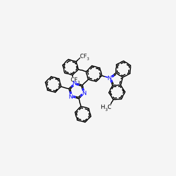 Cc1ccc2c3ccccc3n(-c3ccc(-c4c(C(F)(F)F)cccc4C(F)(F)F)c(-c4nc(-c5ccccc5)nc(-c5ccccc5)n4)c3)c2c1